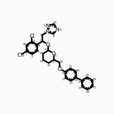 Clc1ccc(C(Cn2cncn2)OC2CCCC(COc3ccc(-c4ccccc4)cc3)O2)c(Cl)c1